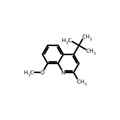 COc1cccc2c(C(C)(C)C)cc(C)nc12